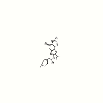 CC[C@H](CN1CCN(C)CC1)n1cc(C)c2nc(-c3ccc(C(C)C)nc3OC)c(C)nc21